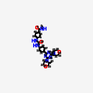 CNC(=O)c1ccc(NC(=O)Nc2ccc(-c3nc(N4CCOCC4C)nc(N4C5CCC4COC5)n3)cc2)cc1